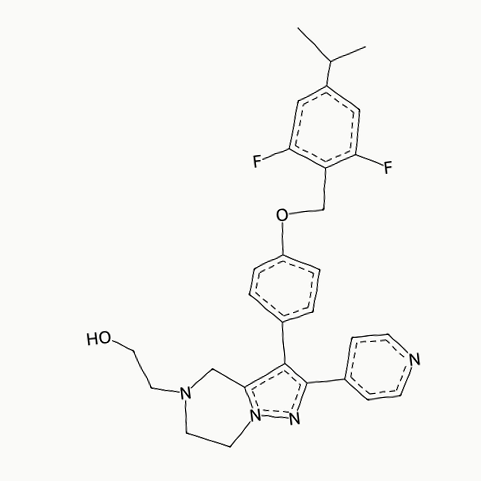 CC(C)c1cc(F)c(COc2ccc(-c3c(-c4ccncc4)nn4c3CN(CCO)CC4)cc2)c(F)c1